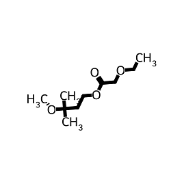 CCOCC(=O)OCCC(C)(C)OC